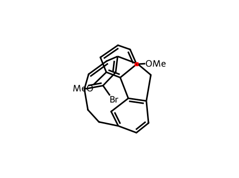 COc1cccc(OC)c1-c1cc2ccc1CCc1ccc(c(Br)c1)CC2